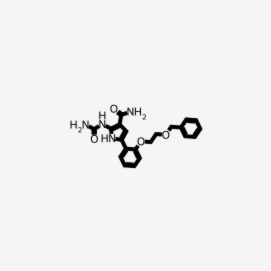 NC(=O)Nc1[nH]c(-c2ccccc2OCCOCc2ccccc2)cc1C(N)=O